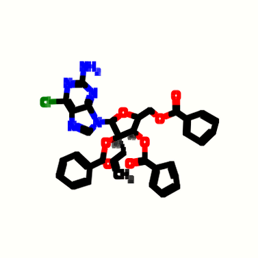 C=CC[C@]1(OC(=O)c2ccccc2)C(n2cnc3c(Cl)nc(N)nc32)OC(COC(=O)c2ccccc2)[C@H]1OC(=O)c1ccccc1